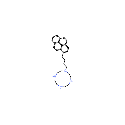 c1cc2ccc3ccc(CCCCN4CCNCCNCCNCC4)c4ccc(c1)c2c34